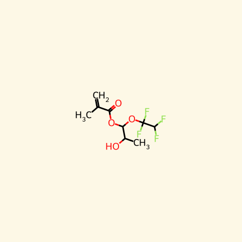 C=C(C)C(=O)OC(OC(F)(F)C(F)F)C(C)O